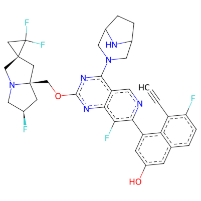 C#Cc1c(F)ccc2cc(O)cc(-c3ncc4c(N5CC6CCC(C5)N6)nc(OC[C@@]56C[C@@H](F)CN5C[C@]5(CC5(F)F)C6)nc4c3F)c12